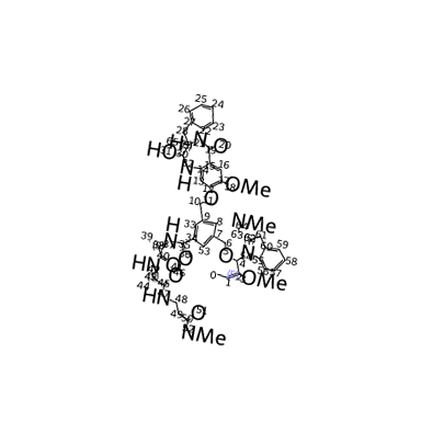 C/C=C(/OC)C(OCc1cc(COc2cc3c(cc2OC)C(=O)N2c4ccccc4C[C@H]2C(O)N3)cc(C(=O)N[C@@H](C)C(=O)N[C@@H](C)C(=O)NCCC(=O)NC)c1)N1c2ccccc2C[C@H]1CNC